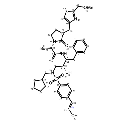 CC[C@H](C)[C@@H](C(=O)N[C@@H](Cc1ccccc1)[C@H](O)CN(CC1CCCC1)S(=O)(=O)c1ccc(/C=N/O)cc1)N1CCN(Cc2csc(COC)n2)C1=O